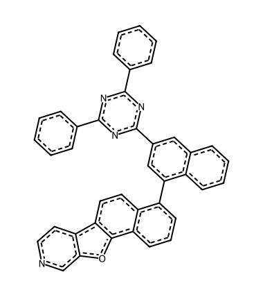 c1ccc(-c2nc(-c3ccccc3)nc(-c3cc(-c4cccc5c4ccc4c6ccncc6oc54)c4ccccc4c3)n2)cc1